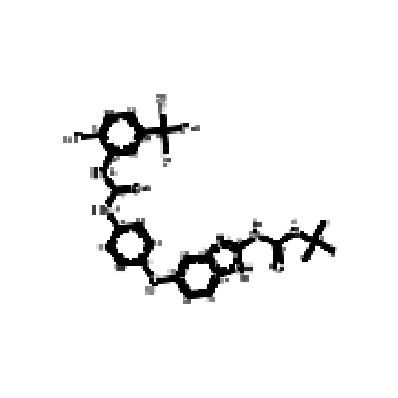 CC(C)(C)OC(=O)Nc1nc2cc(Oc3ccc(NC(=O)Nc4cc(C(F)(F)F)ccc4F)cc3)ccc2[nH]1